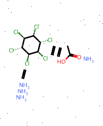 C=C.C=C.C=C.CC(=O)O.Cl[C@H]1[C@H](Cl)[C@@H](Cl)[C@@H](Cl)[C@H](Cl)[C@H]1Cl.N.N.N.N